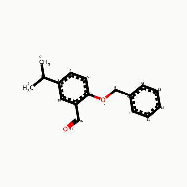 CC(C)c1ccc(OCc2ccccc2)c(C=O)c1